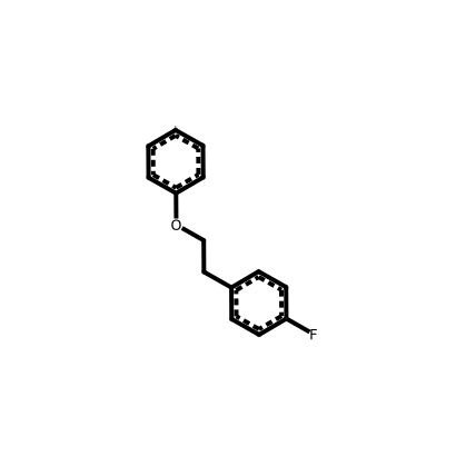 Fc1ccc(CCOc2cc[c]cc2)cc1